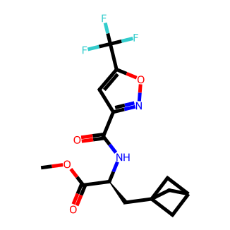 COC(=O)[C@H](CC12CC(C1)C2)NC(=O)c1cc(C(F)(F)F)on1